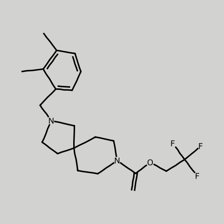 C=C(OCC(F)(F)F)N1CCC2(CCN(Cc3cccc(C)c3C)C2)CC1